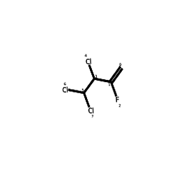 C=C(F)C(Cl)C(Cl)Cl